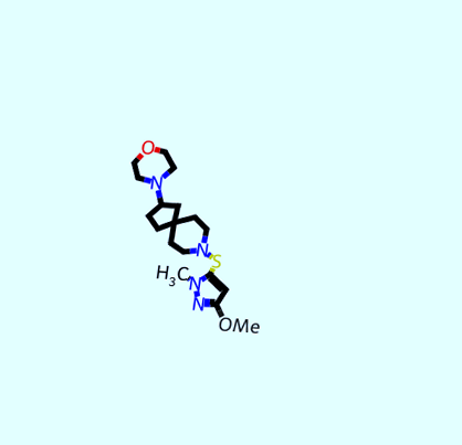 COc1cc(SN2CCC3(CCC(N4CCOCC4)C3)CC2)n(C)n1